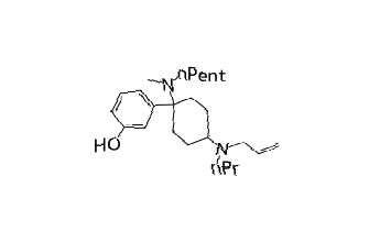 C=CCN(CCC)C1CCC(c2cccc(O)c2)(N(C)CCCCC)CC1